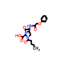 CCCCC(=O)N1CC2[C@H](NC(=O)COc3ccccc3)C(=O)N2C1C(=O)O